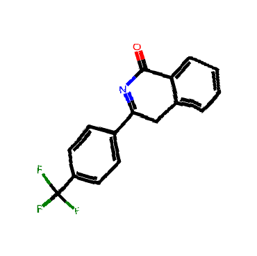 O=C1N=C(c2ccc(C(F)(F)F)cc2)Cc2ccccc21